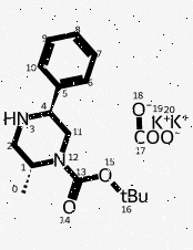 C[C@@H]1CN[C@@H](c2ccccc2)CN1C(=O)OC(C)(C)C.O=C([O-])[O-].[K+].[K+]